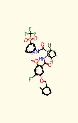 COc1cc(F)c(OCc2ccccc2C)cc1C(=O)N[C@H]1[C@@H](C(=O)Nc2cccc(S(=O)(=O)C(F)(F)F)c2)[C@@H]2C=C[C@H]1C2